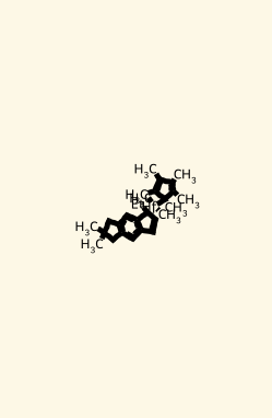 CC[C]1([Hf]([CH3])([CH3])[C]2(C)C(C)=C(C)C(C)=C2C)C=Cc2cc3c(cc21)CC(C)(C)C3